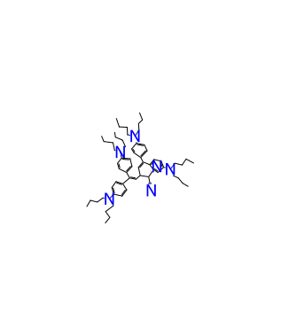 CCCCN(CCCC)c1ccc(C(=CC(C=C(c2ccc(N(CCCC)CCCC)cc2)c2ccc(N(CCCC)CCCC)cc2)C(C#N)C#N)c2ccc(N(CCCC)CCCC)cc2)cc1